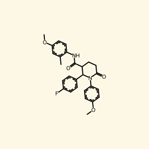 COc1ccc(N2C(=O)CCC(C(=O)Nc3ccc(OC)cc3C)C2c2ccc(F)cc2)cc1